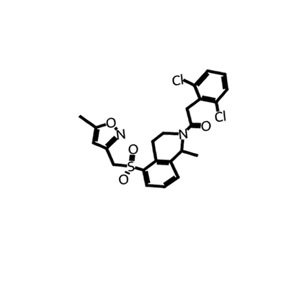 Cc1cc(CS(=O)(=O)c2cccc3c2CCN(C(=O)Cc2c(Cl)cccc2Cl)C3C)no1